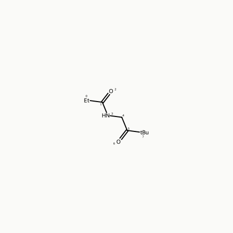 CCC(=O)NCC(=O)C(C)(C)C